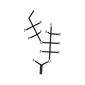 C=C(F)OC(F)(F)C(F)(OC(F)(F)C(F)(F)CC)C(F)(F)F